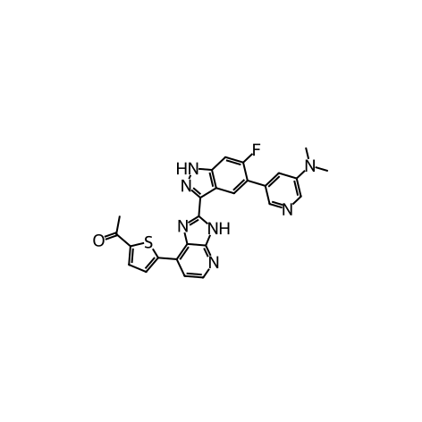 CC(=O)c1ccc(-c2ccnc3[nH]c(-c4n[nH]c5cc(F)c(-c6cncc(N(C)C)c6)cc45)nc23)s1